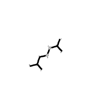 CC(C)COOC(C)C